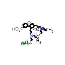 C=CCN(CC=C)CCCc1cc2oc3ccc(C(=O)O)cc3c2c(CCCN(CC=C)CC=C)c1C(=O)O.Cl.Cl